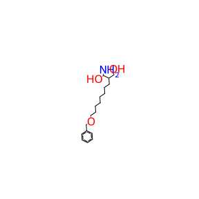 NC(O)C(CO)CCCCCCCCOCc1ccccc1